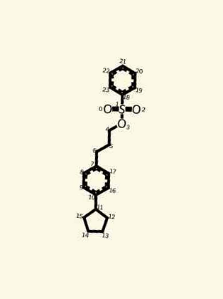 O=S(=O)(OCCCc1ccc(C2CCCC2)cc1)c1ccccc1